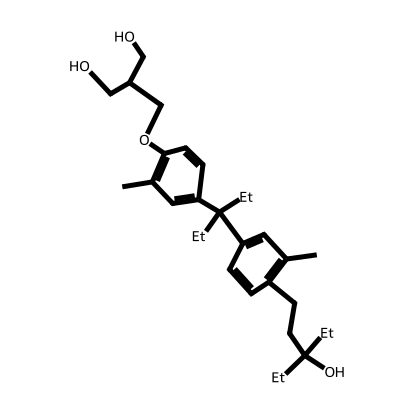 CCC(O)(CC)CCc1ccc(C(CC)(CC)c2ccc(OCC(CO)CO)c(C)c2)cc1C